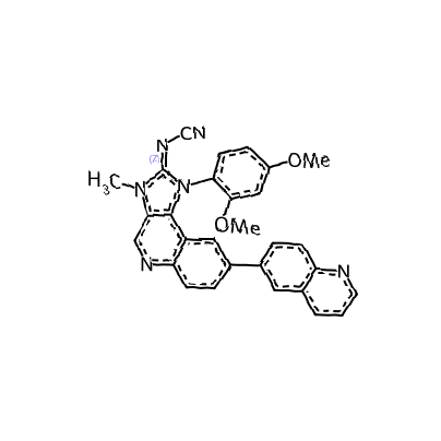 COc1ccc(-n2/c(=N\C#N)n(C)c3cnc4ccc(-c5ccc6ncccc6c5)cc4c32)c(OC)c1